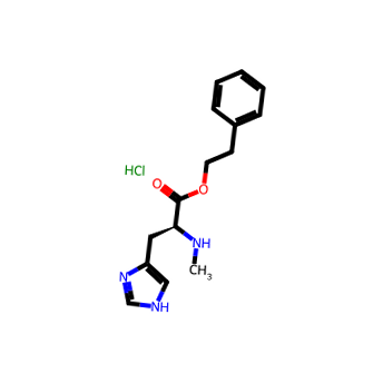 CN[C@@H](Cc1c[nH]cn1)C(=O)OCCc1ccccc1.Cl